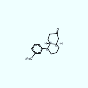 COc1cccc([C@@H]2CCC[C@@H]3CC(=O)CC[C@H]32)c1